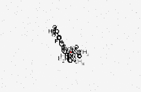 CCC1C(=O)N(C)c2cnc(C3C(OC)=CC=CC3(N)C(=O)NC3(CCO)CCN(CC4(F)CCN(c5ccc(C6CCC(=O)NC6=O)cc5F)CC4)CC3)nc2N1C1CCCC1